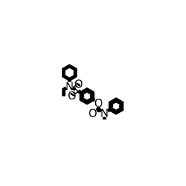 CCN(C1CCCCC1)S(=O)(=O)c1ccc(OC(=O)N(C)c2ccccc2)cc1